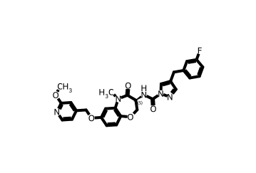 COc1cc(COc2ccc3c(c2)N(C)C(=O)[C@@H](NC(=O)n2cc(Cc4cccc(F)c4)cn2)CO3)ccn1